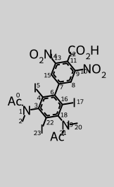 CC(=O)N(C)c1c(I)c(-c2cc([N+](=O)[O-])c(C(=O)O)c([N+](=O)[O-])c2)c(I)c(N(C)C(C)=O)c1I